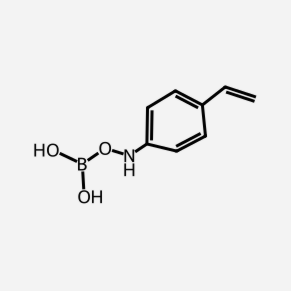 C=Cc1ccc(NOB(O)O)cc1